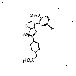 COc1ccc(F)cc1-c1ccnc2[nH]c(C3CCC(CC(=O)O)CC3)cc12